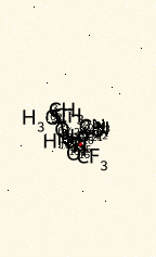 C[Si](C)(C)CCOCN1NC=C2C(=O)N(CC(F)(F)F)c3cc(-c4ccncc4)c(C#N)cc3C21